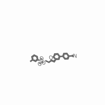 Cc1cccc(S(=O)(=O)OCCc2cc3cc(-c4ccc(C#N)cc4)ccc3o2)c1